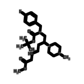 COC(=O)CNCCC(CN(Cc1ccc(F)cc1)C(=O)OC(C)(C)C)N1CCN(C)CC1